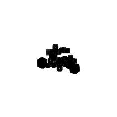 CN1N=C2CCN(C(=O)C(COCc3ccccc3)NC(=O)C(C)(C)NC(=O)OC(C)(C)C)CC2(Cc2ccccn2)C1=O